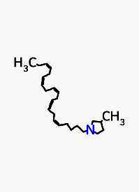 CC/C=C\C/C=C\C/C=C\C/C=C\C/C=C\CCCCN1CCC(C)C1